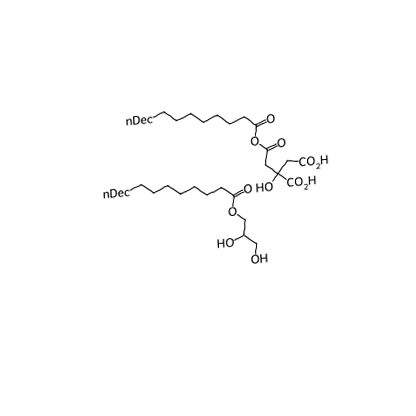 CCCCCCCCCCCCCCCCCC(=O)OC(=O)CC(O)(CC(=O)O)C(=O)O.CCCCCCCCCCCCCCCCCC(=O)OCC(O)CO